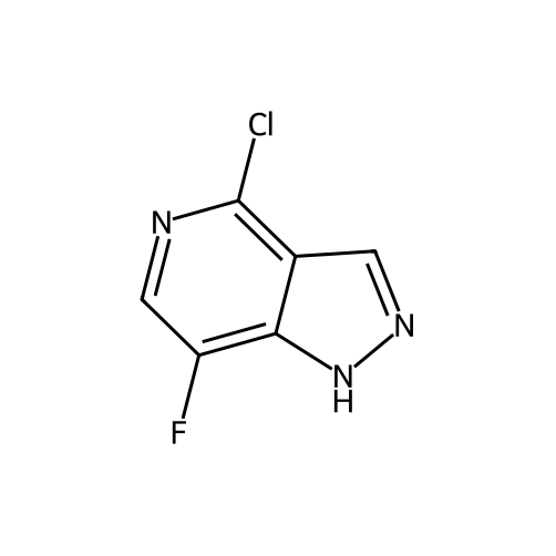 Fc1cnc(Cl)c2cn[nH]c12